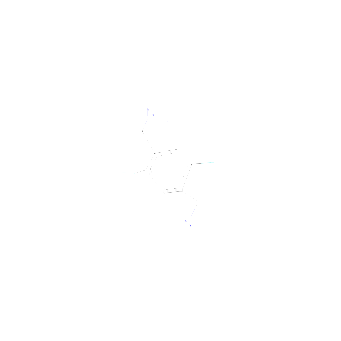 NCc1cc(F)c(CN)cc1F